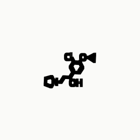 O[C@@H](CCN1CCCC1)c1ccc(OC2CC2)c(Cl)c1